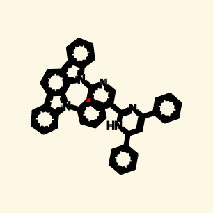 C1=C(c2ccccc2)N=C(c2ccc(-n3c4ccccc4c4ccc5c6ccccc6n(-c6ccccc6)c5c43)nc2)NC1c1ccccc1